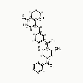 C[C@@H]1CN(C(=O)c2ccccc2)CCN1C(=O)c1cc(Cc2n[nH]c(=O)c3c2NCCC3)ccc1F